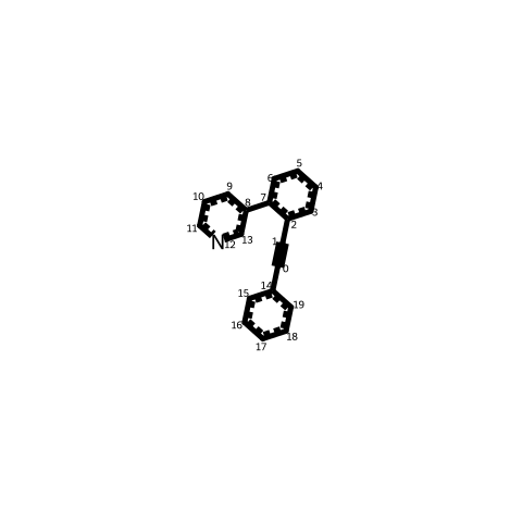 C(#Cc1ccccc1-c1cccnc1)c1ccccc1